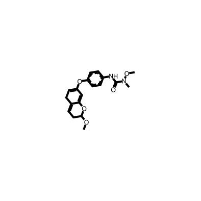 COC1CC=C2CC=C(Oc3ccc(NC(=O)N(C)OC)cc3)C=C2O1